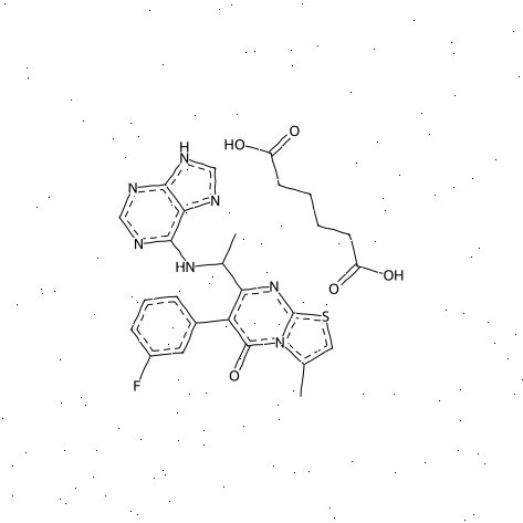 Cc1csc2nc(C(C)Nc3ncnc4[nH]cnc34)c(-c3cccc(F)c3)c(=O)n12.O=C(O)CCCCC(=O)O